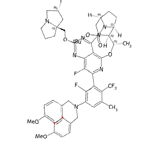 COc1ccc(CN(Cc2ccc(OC)cc2)c2cc(C)c(C(F)(F)F)c(-c3nc4c5c(nc(OC[C@@]67CCCN6C[C@H](F)C7)nc5c3F)N3C[C@H]5CC[C@@H]([C@H]3[C@H](C)O4)N5C(=O)OC(C)(C)C)c2F)cc1